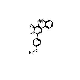 CCOc1ccc(-c2cc(-c3ccccc3Br)c(C#N)c(=O)n2C)cc1